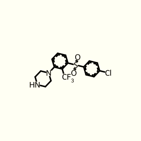 O=S(=O)(c1ccc(Cl)cc1)c1cccc(N2CCNCC2)c1C(F)(F)F